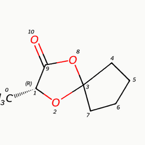 C[C@H]1OC2(CCCC2)OC1=O